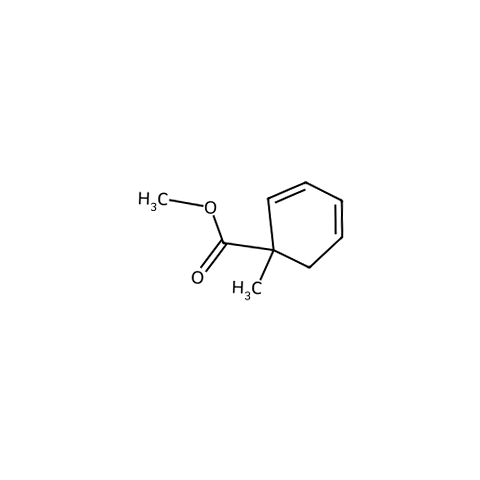 COC(=O)C1(C)C=CC=CC1